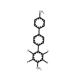 Cc1ccc(-c2ccc(-c3c(F)c(F)c(C)c(F)c3F)cc2)cc1